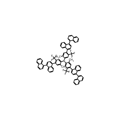 Cc1cc(-c2ccc(-c3cccc4ccccc34)c3ccccc23)c(C(F)(F)F)cc1N(c1cc(C(F)(F)F)c(-c2ccc(-c3cccc4ccccc34)c3ccccc23)cc1C)c1cc(C(F)(F)F)c(-c2ccc(-c3cccc4ccccc34)c3ccccc23)cc1C